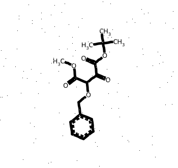 COC(=O)C(OCc1ccccc1)C(=O)C(=O)OC(C)(C)C